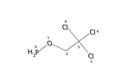 POCC(Cl)(Cl)Cl